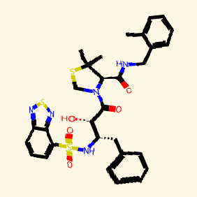 Cc1ccccc1CNC(=O)[C@H]1N(C(=O)[C@@H](O)[C@H](Cc2ccccc2)NS(=O)(=O)c2cccc3nsnc23)CSC1(C)C